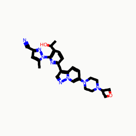 Cc1cc(C#N)nn1-c1nc(-c2cnn3cc(N4CCN(C5COC5)CC4)ccc23)ccc1C(C)O